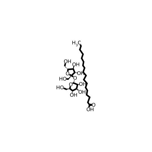 CCCCCCCCCCCCCCCCCC(=O)O.OC[C@H]1O[C@@](CO)(O[C@H]2O[C@H](CO)[C@@H](O)[C@H](O)[C@H]2O)[C@@H](O)[C@@H]1O